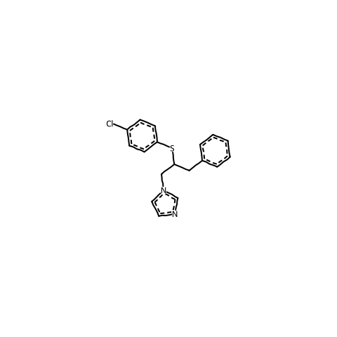 Clc1ccc(SC(Cc2ccccc2)Cn2ccnc2)cc1